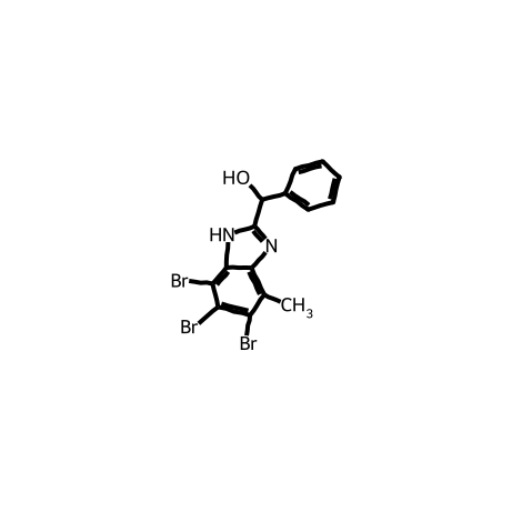 Cc1c(Br)c(Br)c(Br)c2[nH]c(C(O)c3ccccc3)nc12